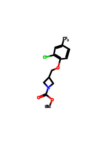 CC(C)(C)OC(=O)N1CC(COc2ccc(C(F)(F)F)cc2Cl)C1